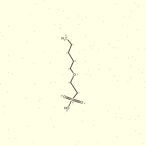 CCCCCOCCS(=O)(=O)O